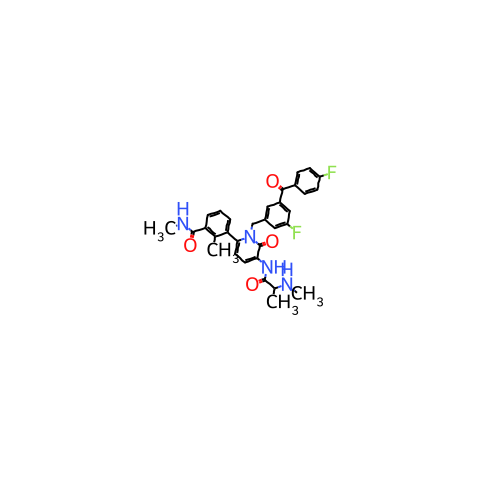 CNC(=O)c1cccc(-c2ccc(NC(=O)C(C)NC)c(=O)n2Cc2cc(F)cc(C(=O)c3ccc(F)cc3)c2)c1C